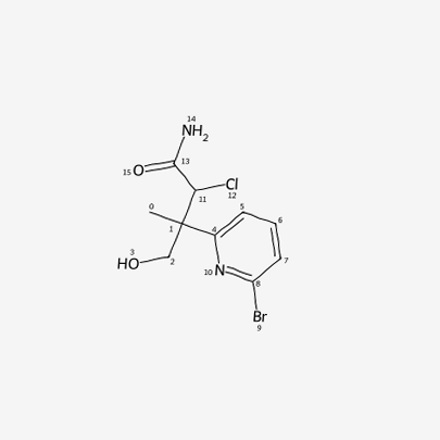 CC(CO)(c1cccc(Br)n1)C(Cl)C(N)=O